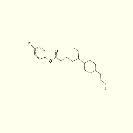 C=CCCC1CCC(C(CC)CCCC(=O)Oc2ccc(F)cc2)CC1